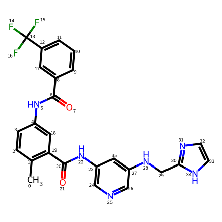 Cc1ccc(NC(=O)c2cccc(C(F)(F)F)c2)cc1C(=O)Nc1cncc(NCc2ncc[nH]2)c1